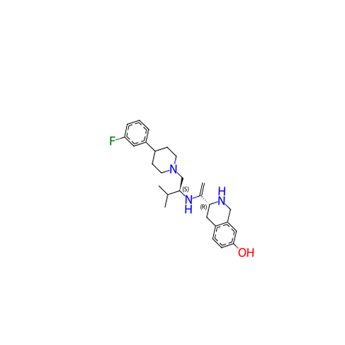 C=C(N[C@H](CN1CCC(c2cccc(F)c2)CC1)C(C)C)[C@H]1Cc2ccc(O)cc2CN1